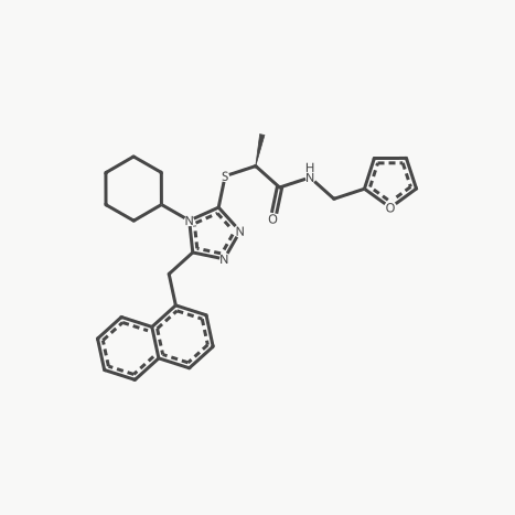 C[C@H](Sc1nnc(Cc2cccc3ccccc23)n1C1CCCCC1)C(=O)NCc1ccco1